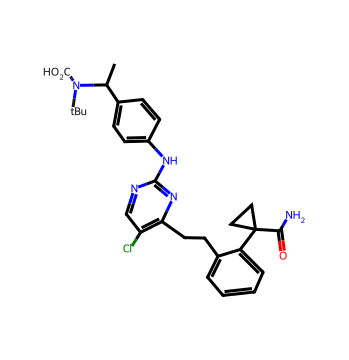 CC(c1ccc(Nc2ncc(Cl)c(CCc3ccccc3C3(C(N)=O)CC3)n2)cc1)N(C(=O)O)C(C)(C)C